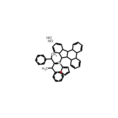 CC([C](C(C)c1ccccc1)=[Zr]([C]1=CC=CC1)[CH]1C2C=CC=CC2C2C3C=CC=CC3C3C=CC=CC3C21)c1ccccc1.Cl.Cl